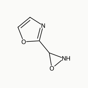 c1coc(C2NO2)n1